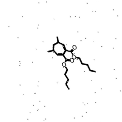 CCCCCOC(=O)C1=CC(C)CC(C)C=C1C(=O)OCCCCC